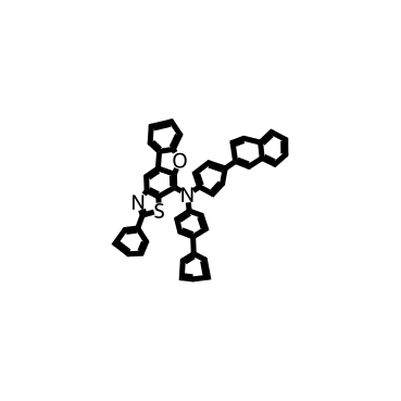 c1ccc(-c2ccc(N(c3ccc(-c4ccc5ccccc5c4)cc3)c3c4oc5ccccc5c4cc4nc(-c5ccccc5)sc34)cc2)cc1